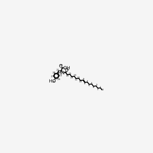 CCCCCCCCC=CCCCCCCCC(=O)N[C@@H](Cc1ccc(O)cc1)C(=O)O